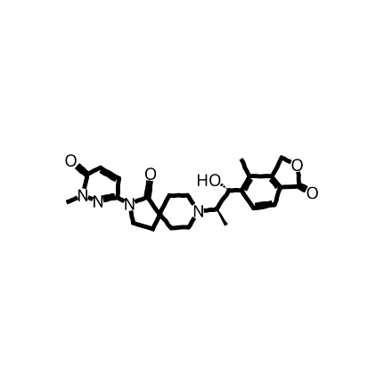 Cc1c([C@@H](O)[C@@H](C)N2CCC3(CCN(c4ccc(=O)n(C)n4)C3=O)CC2)ccc2c1COC2=O